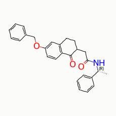 C[C@@H](NC(=O)CC1CCc2cc(OCc3ccccc3)ccc2C1=O)c1ccccc1